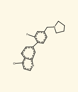 Fc1cc(CN2CCCC2)ccc1-c1ccc2c(Cl)ccnc2c1